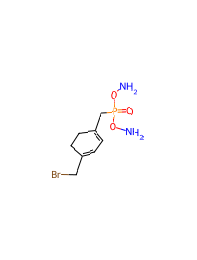 NOP(=O)(CC1=CC=C(CBr)CC1)ON